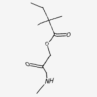 CCC(C)(C)C(=O)OCC(=O)NC